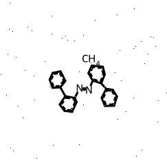 C.c1ccc(-c2ccccc2N=Nc2ccccc2-c2ccccc2)cc1